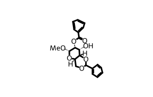 CO[C@H]1O[C@@H]2COC(c3ccccc3)O[C@H]2[C@@H](O)[C@H]1OC(=O)c1ccccc1